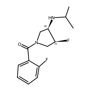 CC(C)N[C@@H]1CN(C(=O)c2ccccc2F)C[C@@H]1F